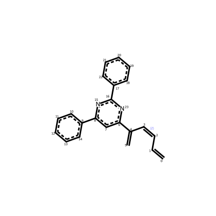 C=C/C=C\C(=C)c1cc(-c2ccccc2)nc(-c2ccccc2)n1